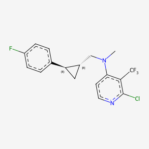 CN(C[C@@H]1C[C@H]1c1ccc(F)cc1)c1ccnc(Cl)c1C(F)(F)F